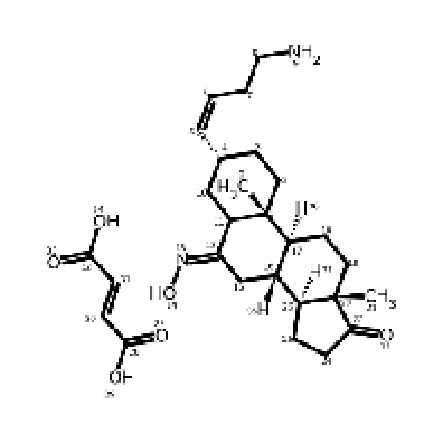 C[C@]12CC[C@@H](/C=C\CCN)CC1/C(=N/O)C[C@@H]1[C@@H]2CC[C@]2(C)C(=O)CC[C@@H]12.O=C(O)/C=C/C(=O)O